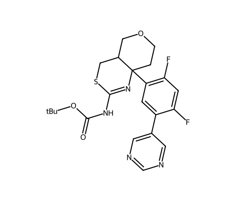 CC(C)(C)OC(=O)NC1=NC2(c3cc(-c4cncnc4)c(F)cc3F)CCOCC2CS1